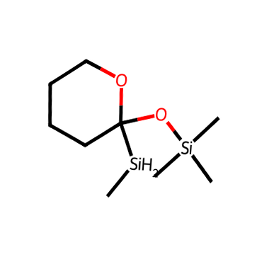 C[SiH2]C1(O[Si](C)(C)C)CCCCO1